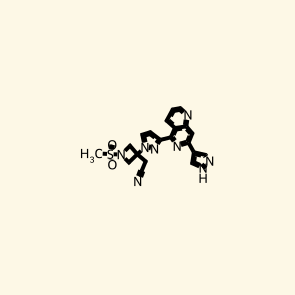 CS(=O)(=O)N1CC(CC#N)(n2ccc(-c3nc(-c4cn[nH]c4)cc4ncccc34)n2)C1